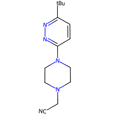 CC(C)(C)c1ccc(N2CCN(CC#N)CC2)nn1